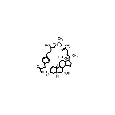 CC(C)NCC(O)COc1ccc(CC(N)=O)cc1.C[C@H](CCC(N)=O)[C@H]1CCC2C3C(C[C@H](O)[C@@]21C)[C@@]1(C)CC[C@@H](O)C[C@H]1C[C@H]3O